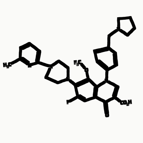 Cc1cccc(N2CCN(c3c(F)cc4c(=O)c(C(=O)O)cn(-c5ccc(CN6CCCC6)cc5)c4c3OC(F)(F)F)CC2)n1